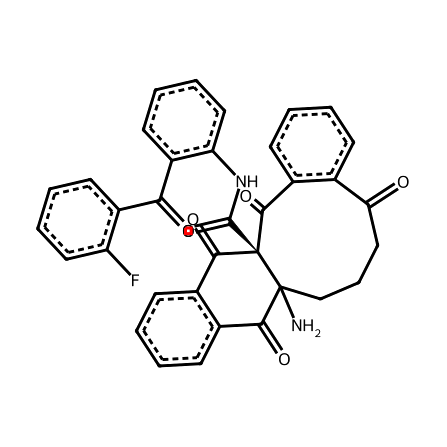 NC12CCCC(=O)c3ccccc3C(=O)[C@@]1(C(=O)Nc1ccccc1C(=O)c1ccccc1F)C(=O)c1ccccc1C2=O